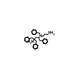 NCCCN(Cc1ccccc1)C(Cc1ccccc1)CC(N)(Cc1ccccc1)Cc1ccccc1